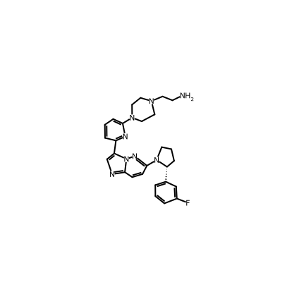 NCCN1CCN(c2cccc(-c3cnc4ccc(N5CCC[C@@H]5c5cccc(F)c5)nn34)n2)CC1